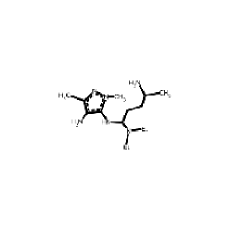 CCN(CC)C(CCC(C)N)Nc1c(N)c(C)nn1C